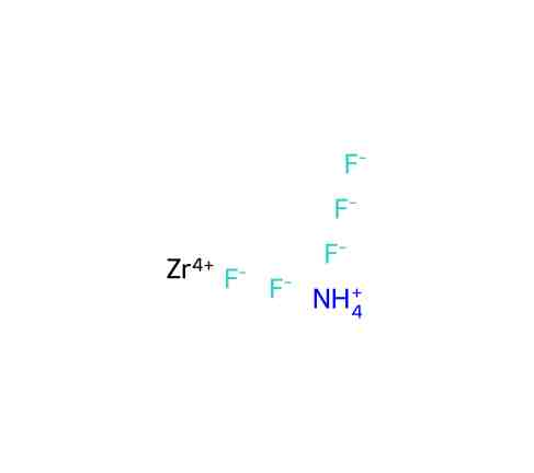 [F-].[F-].[F-].[F-].[F-].[NH4+].[Zr+4]